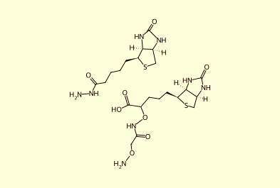 NNC(=O)CCCC[C@@H]1SC[C@@H]2NC(=O)N[C@@H]21.NOCC(=O)NOC(CCC[C@@H]1SC[C@@H]2NC(=O)N[C@@H]21)C(=O)O